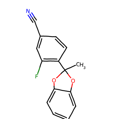 CC1(c2ccc(C#N)cc2F)Oc2ccccc2O1